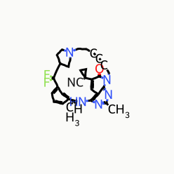 Cc1nc2c3cc(C4(C#N)CC4)c(=O)n(c3n1)CCCCCCN1CCC(CC1)C(F)(F)c1cccc(c1)[C@@H](C)N2